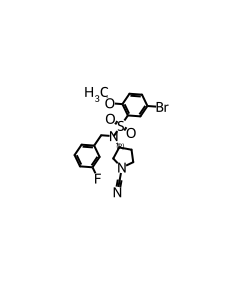 COc1ccc(Br)cc1S(=O)(=O)N(Cc1cccc(F)c1)[C@@H]1CCN(C#N)C1